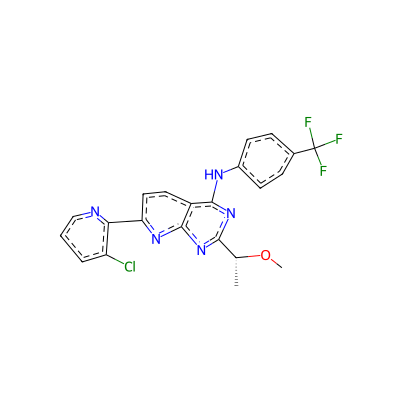 CO[C@H](C)c1nc(Nc2ccc(C(F)(F)F)cc2)c2ccc(-c3ncccc3Cl)nc2n1